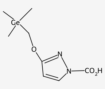 [CH3][Ge]([CH3])([CH3])[CH2]Oc1ccn(C(=O)O)n1